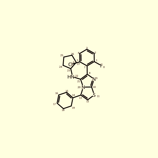 Fc1cccc(Cl)c1-c1nc2scc(C3=CC=CCC3)n2c1NC1CCCC1